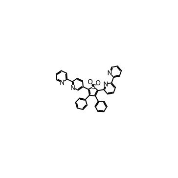 O=S1(=O)C(c2ccc(-c3ccccn3)nc2)=C(c2ccccc2)C(c2ccccc2)=C1c1cccc(-c2ccccn2)n1